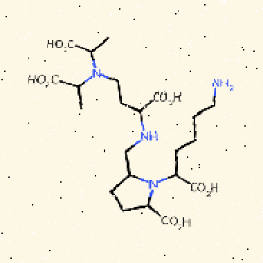 CC(C(=O)O)N(CCC(NCC1CCC(C(=O)O)N1C(CCCCN)C(=O)O)C(=O)O)C(C)C(=O)O